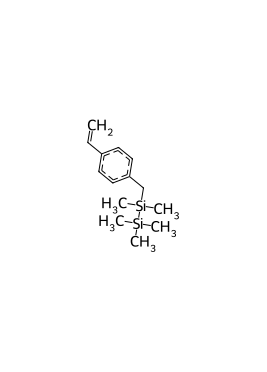 C=Cc1ccc(C[Si](C)(C)[Si](C)(C)C)cc1